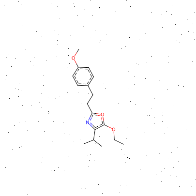 CCOc1oc(CCc2ccc(OC)cc2)nc1C(C)C